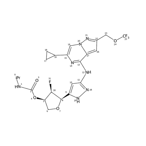 CC(C)NC(=O)O[C@@H]1CO[C@H](c2cc(Nc3nc(C4CC4)cn4nc(COC(F)(F)F)cc34)n[nH]2)[C@@H]1F